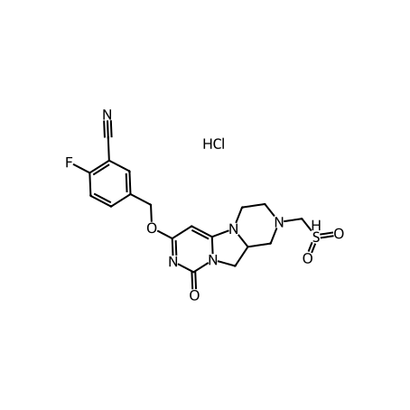 Cl.N#Cc1cc(COc2cc3n(c(=O)n2)CC2CN(C[SH](=O)=O)CCN32)ccc1F